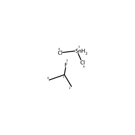 CC(C)F.[Cl][SnH2][Cl]